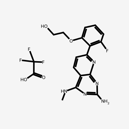 CNc1nc(N)nc2nc(-c3c(F)cccc3OCCO)ccc12.O=C(O)C(F)(F)F